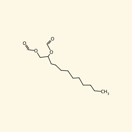 CCCCCCCCCCC(CO[C]=O)OC=O